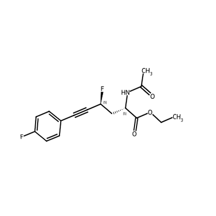 CCOC(=O)[C@H](C[C@H](F)C#Cc1ccc(F)cc1)NC(C)=O